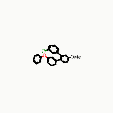 COc1ccc(C2=CC(Oc3ccccc3)=CC[CH]2)c(-c2cccc(Cl)c2)c1